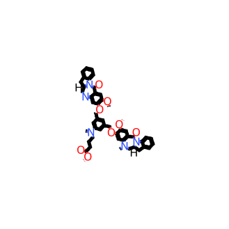 COC(=O)CCCN(C)c1cc(COc2cc3c(cc2OC)C(=O)N2c4ccccc4C[C@H]2C=N3)cc(COc2cc3c(cc2OC)C(=O)N2c4ccccc4C[C@H]2CN3C)c1